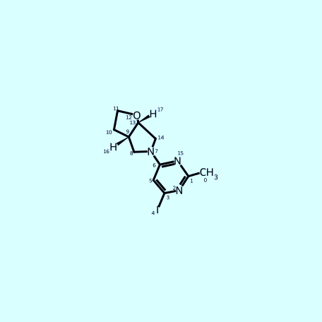 Cc1nc(I)cc(N2C[C@@H]3CCO[C@@H]3C2)n1